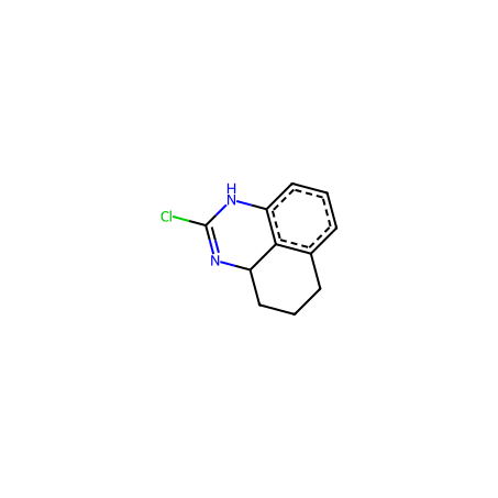 ClC1=NC2CCCc3cccc(c32)N1